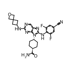 N#Cc1cc(F)c(Nc2nc3cnc(NC4CC5(COC5)C4)nc3n2[C@H]2CC[C@H](C(N)=O)CC2)c(F)c1